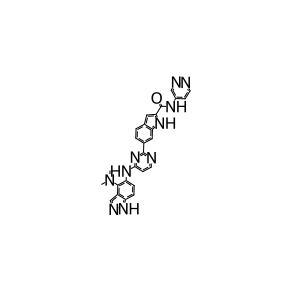 CN(C)c1c(Nc2ccnc(-c3ccc4cc(C(=O)Nc5ccnnc5)[nH]c4c3)n2)ccc2[nH]ncc12